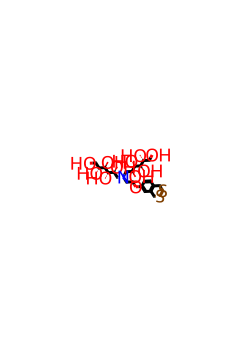 OC[C@@H](O)[C@@H](O)[C@@H](O)[C@@H](O)CN(CCOc1ccc2c(c1)CSSC2)C[C@H](O)[C@H](O)[C@H](O)[C@H](O)CO